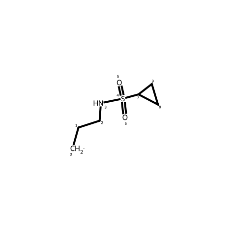 [CH2]CCNS(=O)(=O)C1CC1